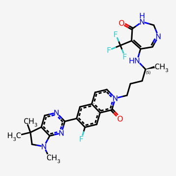 C[C@@H](CCCn1ccc2cc(-c3ncc4c(n3)N(C)CC4(C)C)c(F)cc2c1=O)NC1=C(C(F)(F)F)C(=O)NCN=C1